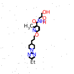 CCc1cnc(N2CCC(CCCOc3ccc(C(=O)NCC(O)CO)c(C)n3)CC2)nc1